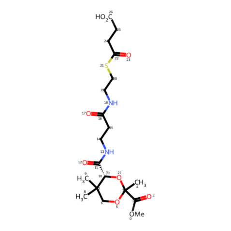 COC(=O)C1(C)OCC(C)(C)[C@H](C(=O)NCCC(=O)NCCSC(=O)CCC(=O)O)O1